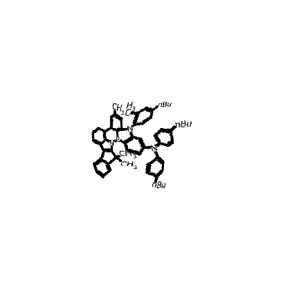 CCCCc1ccc(N(c2ccc(CCCC)cc2)c2ccc3c(c2)N(c2ccc(CCCC)cc2C)c2cc(C)cc4c2B3n2c3c(c5cccc-4c52)-c2ccccc2C3(C)C)cc1